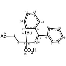 CC(=O)CC[C@](N=C(c1ccccc1)c1ccccc1)(C(=O)O)C(C)(C)C